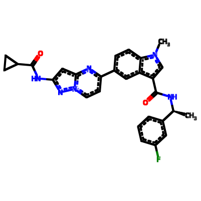 C[C@H](NC(=O)c1cn(C)c2ccc(-c3ccn4nc(NC(=O)C5CC5)cc4n3)cc12)c1cccc(F)c1